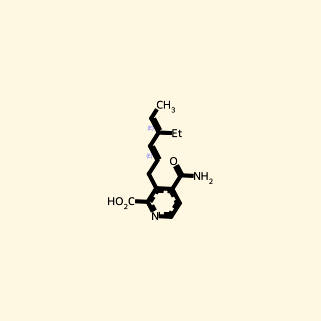 C/C=C(/C=C/Cc1c(C(N)=O)ccnc1C(=O)O)CC